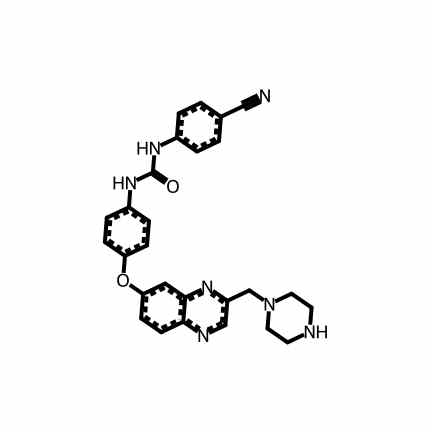 N#Cc1ccc(NC(=O)Nc2ccc(Oc3ccc4ncc(CN5CCNCC5)nc4c3)cc2)cc1